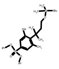 Cc1cc(P(=O)(OC(C)C)OC(C)C)cc(O)c1C(C)(C)CCO[Si](C)(C)C(C)(C)C